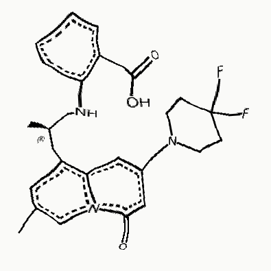 Cc1cc([C@@H](C)Nc2ccccc2C(=O)O)c2cc(N3CCC(F)(F)CC3)cc(=O)n2c1